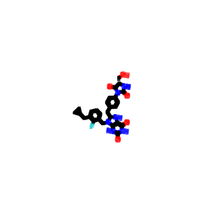 O=C1N[C@@H](CO)C(=O)N1c1ccc(CC2Nc3c([nH]c(=O)[nH]c3=O)N2Cc2cccc(CC3CC3)c2F)cc1